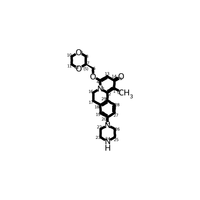 Cc1c2n(c(OC[C@@H]3COCCO3)cc1=O)CCc1cc(N3CCNCC3)ccc1-2